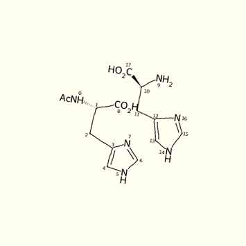 CC(=O)N[C@@H](Cc1c[nH]cn1)C(=O)O.N[C@@H](Cc1c[nH]cn1)C(=O)O